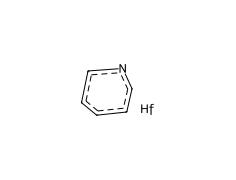 [Hf].c1ccncc1